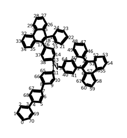 c1ccc(-c2ccc(-c3ccc(N(c4ccc(-c5c(-c6ccccc6)c6ccccc6c6ccccc56)cc4)c4ccc(-c5c(-c6ccccc6)c6ccccc6c6ccccc56)cc4)cc3)cc2)cc1